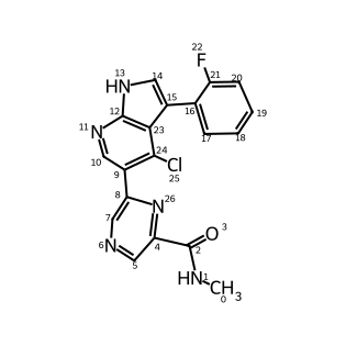 CNC(=O)c1cncc(-c2cnc3[nH]cc(-c4ccccc4F)c3c2Cl)n1